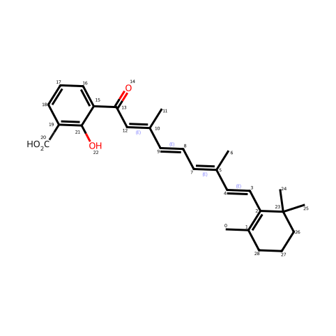 CC1=C(/C=C/C(C)=C/C=C/C(C)=C/C(=O)c2cccc(C(=O)O)c2O)C(C)(C)CCC1